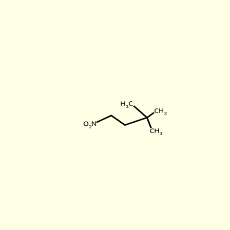 CC(C)(C)CC[N+](=O)[O-]